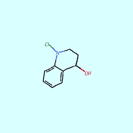 OC1CCN(Cl)c2ccccc21